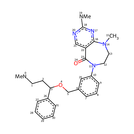 CNCCC(OCc1cccc(N2CCN(C)c3nc(NC)ncc3C2=O)c1)c1ccccc1